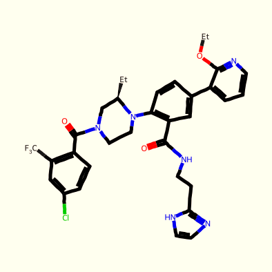 CCOc1ncccc1-c1ccc(N2CCN(C(=O)c3ccc(Cl)cc3C(F)(F)F)C[C@H]2CC)c(C(=O)NCCc2ncc[nH]2)c1